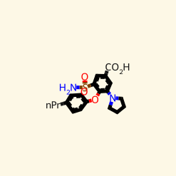 CCCc1ccc(Oc2c(N3CCCC3)cc(C(=O)O)cc2S(N)(=O)=O)cc1